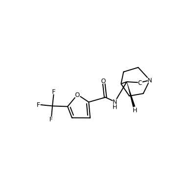 O=C(N[C@H]1CN2CCC1CC2)c1ccc(C(F)(F)F)o1